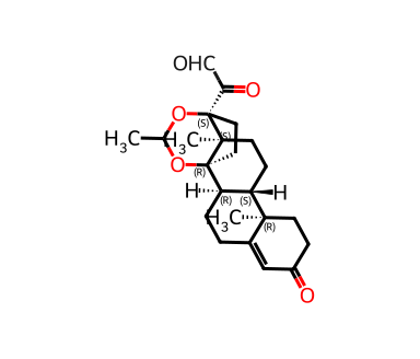 CC1O[C@@]2(C(=O)C=O)CC[C@@]3(O1)[C@@H]1CCC4=CC(=O)CC[C@]4(C)[C@H]1CC[C@]23C